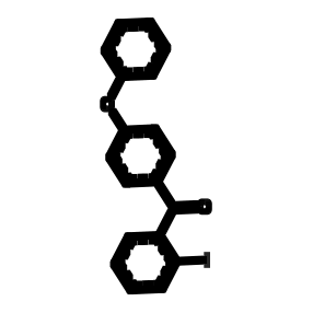 O=C(c1ccc(Oc2ccccc2)cc1)c1ccccc1I